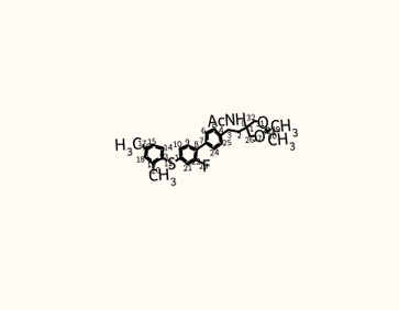 CC(=O)NC1(CCc2ccc(-c3ccc(Sc4ccc(C)cc4C)cc3F)cc2)COC(C)(C)OC1